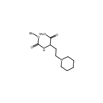 COC(=O)C(CCN1CCCCC1)NC(=O)OC(C)(C)C